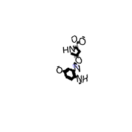 CNc1ccc(OC)cc1/N=C/O[C@H]1CN[C@H](C(=O)OC)C1